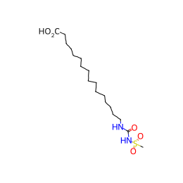 CS(=O)(=O)NC(=O)NCCCCCCCCCCCCCCCC(=O)O